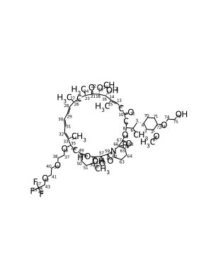 CO[C@@H]1C[C@H](C[C@@H](C)[C@@H]2CC(=O)C/C=C(\C)[C@@H](O)[C@@H](OC)C(=O)[C@H](C)C[C@H](C)/C=C/C=C/C=C(\C)[C@H](OCCOCCOCC(F)(F)F)C[C@@H]3CC[C@@H](C)[C@@](O)(O3)C(=O)C(=O)N3CCCC[C@H]3C(=O)O2)CC[C@H]1OCCO